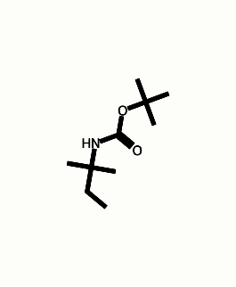 CCC(C)(C)NC(=O)OC(C)(C)C